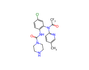 Cc1ccc(N(C(=O)C(F)(F)F)c2cc(Cl)ccc2NC(=O)N2CCNCC2)nc1